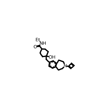 CCNC(=O)C1CCC(O)(Cc2ccc3c(c2)CCN(C2=CC=C2)CC3)CC1